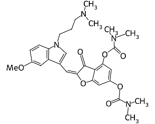 COc1ccc2c(c1)c(C=C1Oc3cc(OC(=O)N(C)C)cc(OC(=O)N(C)C)c3C1=O)cn2CCCN(C)C